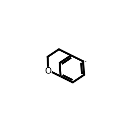 [c]1ccc2cc1CCO2